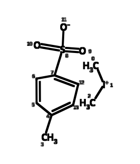 C[I+]C.Cc1ccc(S(=O)(=O)[O-])cc1